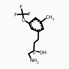 Cc1cc(CC[C@@H](O)CN)cc(OC(F)(F)F)c1